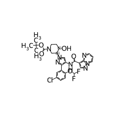 CC(C)(C)OC(=O)N1CC[C@H](O)[C@@H](n2cc(NC(=O)c3cnn4cccnc34)c(-c3cc(Cl)ccc3OC(F)F)n2)C1